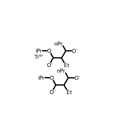 CCCC([O-])C(CC)C([O-])OC(C)C.CCCC([O-])C(CC)C([O-])OC(C)C.[Ti+4]